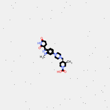 C[C@H]1CN(C(=O)O)CC[C@H]1CN1CCN(c2ccc3c(C4CCC(=O)NC4=O)nn(C)c3c2)CC1